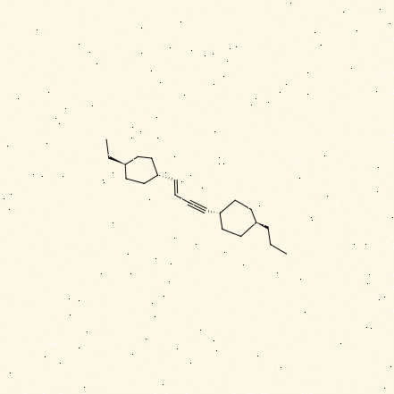 CCC[C@H]1CC[C@H](C#CC=C[C@H]2CC[C@H](CC)CC2)CC1